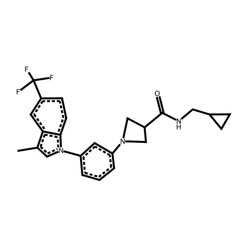 Cc1cn(-c2cccc(N3CC(C(=O)NCC4CC4)C3)c2)c2ccc(C(F)(F)F)cc12